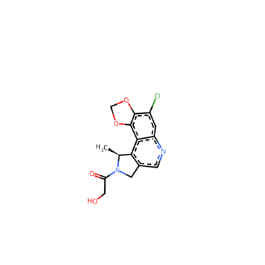 C[C@H]1c2c(cnc3cc(Cl)c4c(c23)OCO4)CN1C(=O)CO